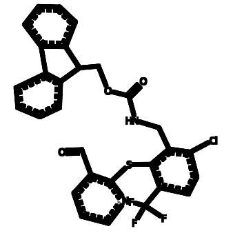 O=Cc1cccnc1Sc1c(C(F)(F)F)ccc(Cl)c1CNC(=O)OCC1c2ccccc2-c2ccccc21